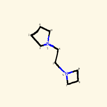 C1CCN(CCN2CCC2)C1